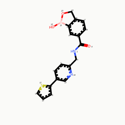 O=C(NCc1ccc(-c2cccs2)cn1)c1ccc2c(c1)B(O)OC2